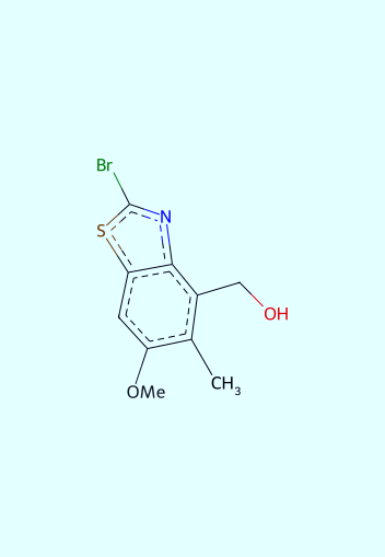 COc1cc2sc(Br)nc2c(CO)c1C